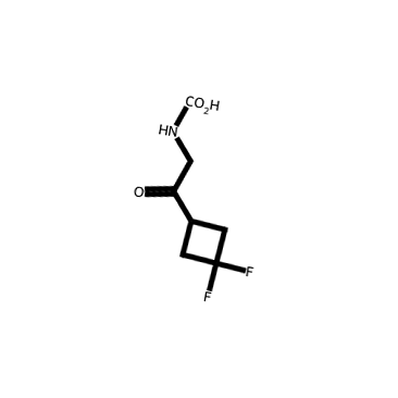 O=C(O)NCC(=O)C1CC(F)(F)C1